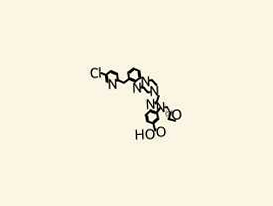 O=C(O)c1ccc2nc(CN3CCn4c(nc5c(Cc6ccc(Cl)cn6)cccc54)C3)n(C[C@@H]3CCO3)c2c1